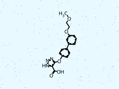 COCCOc1cccc(-c2ccc(Oc3nn[nH]c3C(=O)O)cc2)c1